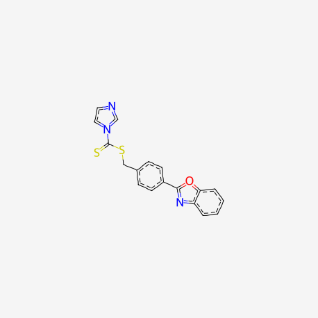 S=C(SCc1ccc(-c2nc3ccccc3o2)cc1)n1ccnc1